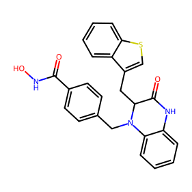 O=C(NO)c1ccc(CN2c3ccccc3NC(=O)C2Cc2csc3ccccc23)cc1